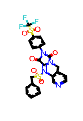 O=C1CN(Cc2ccncc2NS(=O)(=O)Cc2ccccc2)C(=O)N1c1ccc(S(=O)(=O)C(F)(F)F)cc1